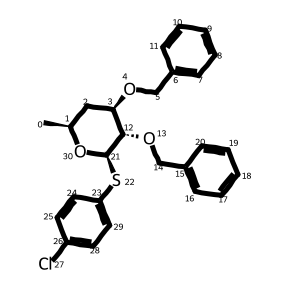 C[C@H]1C[C@@H](OCc2ccccc2)[C@H](OCc2ccccc2)[C@@H](Sc2ccc(Cl)cc2)O1